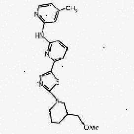 COCC1CCCN(c2ncc(-c3cccc(Nc4cc(C)ccn4)n3)s2)C1